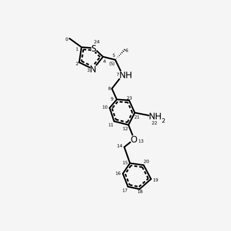 Cc1cnc([C@H](C)NCc2ccc(OCc3ccccc3)c(N)c2)s1